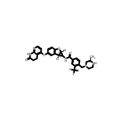 C[C@@H]1CN(Cc2ccc(C(=O)NC3[C@H]4Oc5ccc(Oc6ccnc7c6CCC(=O)N7)cc5[C@@H]34)cc2C(F)(F)F)CCN1